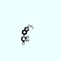 CN1Cc2ccc(N3CCC(=O)NC3=O)cc2C1